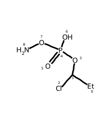 CCC(Cl)OP(=O)(O)ON